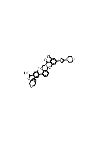 O=C(O)c1cc(F)c(-c2cccc3c2OCN(C(=O)c2c(Cl)cc(N4CC(N5CCOCC5)C4)cc2Cl)C3)cc1N1C2CCC1COC2